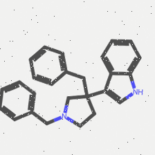 c1ccc(CN2CCC(Cc3ccccc3)(c3c[nH]c4ccccc34)C2)cc1